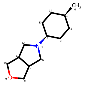 C[C@H]1CC[C@@H](N2CC3COCC3C2)CC1